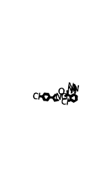 O=C(OC(Cn1ncnn1)c1ccccc1Cl)N1CCC(c2ccc(Cl)cc2)C1